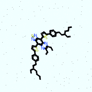 CCCCC(CC)CCc1ccc(-c2ccc(-c3c4nsnc4c(-c4ccc(-c5ccc(CCC(CC)CCCC)cc5)s4)c4nc(CC)c(CC)nc34)s2)cc1